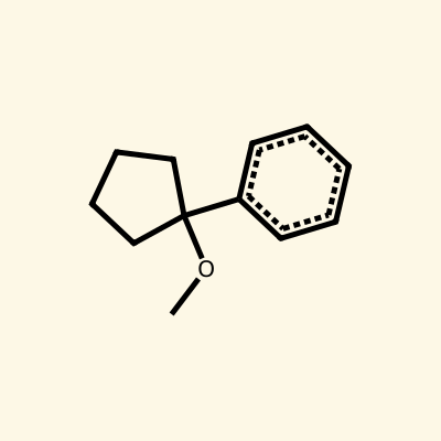 COC1(c2ccccc2)CCCC1